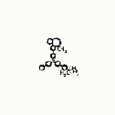 C=C1/C=C\C=C/Cc2ccccc2-c2ccc(-c3ccc(N(c4ccc(-c5ccccc5)cc4)c4ccc(-c5ccc(C(C)(C)C)cc5)cc4)cc3)cc21